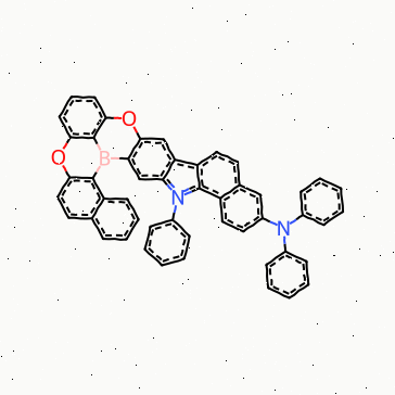 c1ccc(N(c2ccccc2)c2ccc3c(ccc4c5cc6c(cc5n(-c5ccccc5)c34)B3c4c(cccc4Oc4ccc5ccccc5c43)O6)c2)cc1